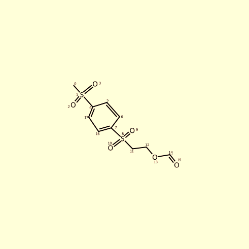 CS(=O)(=O)c1ccc(S(=O)(=O)CCO[C]=O)cc1